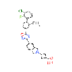 Cc1cc(-c2nc(-c3ccc4c(c3)CN(C3CC(C(=O)O)C3)C4)no2)ccc1-c1cccc(Cl)c1F